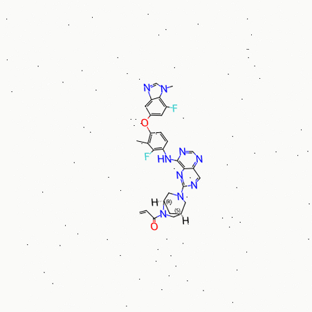 C=CC(=O)N1C[C@H]2C[C@@H]1CN(c1ncc3ncnc(Nc4ccc(Oc5cc(F)c6c(c5)ncn6C)c(C)c4F)c3n1)C2